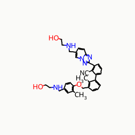 Cc1cc(CNCCO)ccc1OCc1cccc(-c2cccc(-c3nc4ccc(CNCCO)cn4n3)c2C#N)c1C